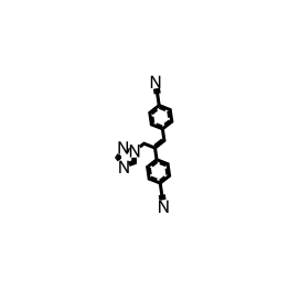 N#Cc1ccc(C=C(Cn2cncn2)c2ccc(C#N)cc2)cc1